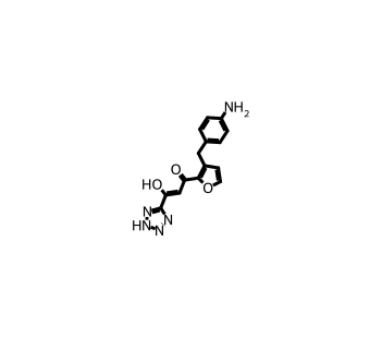 Nc1ccc(Cc2ccoc2C(=O)C=C(O)c2nn[nH]n2)cc1